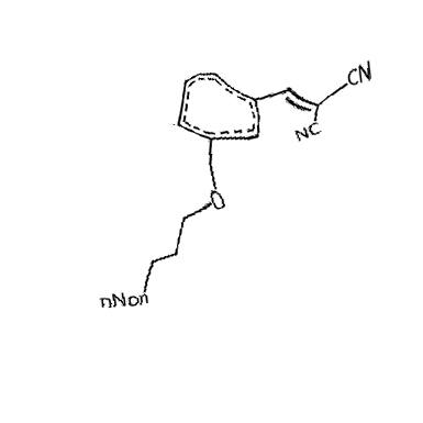 CCCCCCCCCCCCOc1[c]ccc(C=C(C#N)C#N)c1